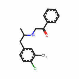 CC(Cc1ccc(Cl)c(C(F)(F)F)c1)NCC(=O)c1ccccc1